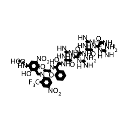 N=C(N)NC(NC(=O)C(NC(=N)N)NC(=O)C(NC(=N)N)NC(=O)C(NC(=N)N)NC(=O)C(NC(=O)C(O)N(Cc1cc([N+](=O)[O-])cc(NOO)c1O)c1ccc([N+](=O)[O-])cc1C(F)(F)F)c1ccccc1)C(N)=O